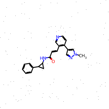 Cn1cc(-c2ccncc2/C=C/C(=O)NC2CC2c2ccccc2)cn1